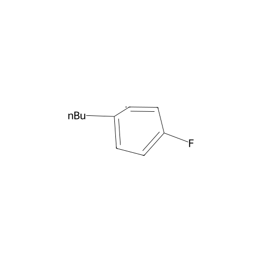 CCCCc1[c]cc(F)cc1